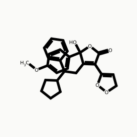 COc1ccc(C2(O)OC(=O)C(C3=CCOO3)=C2CC(c2ccccc2)C2CCCC2)cc1